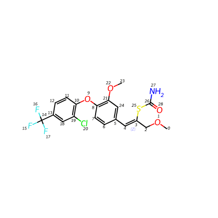 COC/C(=C/c1ccc(Oc2ccc(C(F)(F)F)cc2Cl)c(OC)c1)SC(N)=O